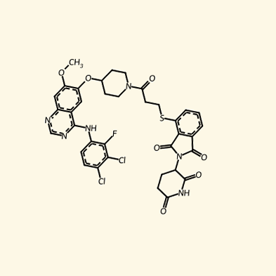 COc1cc2ncnc(Nc3ccc(Cl)c(Cl)c3F)c2cc1OC1CCN(C(=O)CCSc2cccc3c2C(=O)N(C2CCC(=O)NC2=O)C3=O)CC1